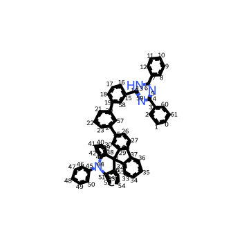 c1ccc(C2=NC(c3ccccc3)NC(c3cccc(-c4cccc(-c5ccc6c(c5)C5(c7ccccc7-6)c6ccccc6N(c6ccccc6)c6ccccc65)c4)c3)=N2)cc1